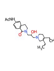 C=CC1=C(C=C)CN(CC(O)CN2CCc3cc(NC(C)=O)ccc3C2=O)CC1